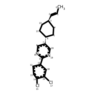 CC=C[C@H]1CC[C@H](c2cnc(-c3ccc(Cl)c(Cl)c3)nc2)CC1